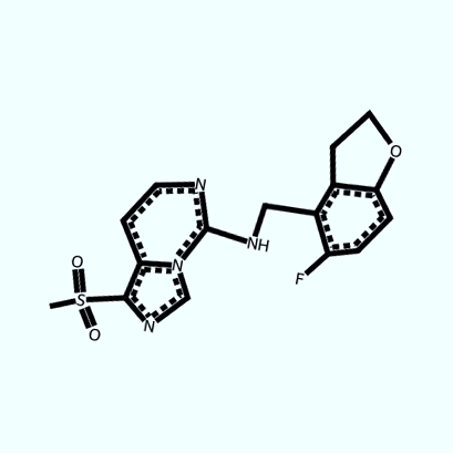 CS(=O)(=O)c1ncn2c(NCc3c(F)ccc4c3CCO4)nccc12